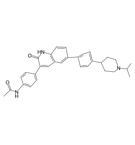 CC(=O)Nc1ccc(-c2cc3cc(-c4ccc(C5CCN(C(C)C)CC5)cc4)ccc3[nH]c2=O)cc1